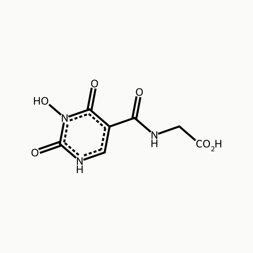 O=C(O)CNC(=O)c1c[nH]c(=O)n(O)c1=O